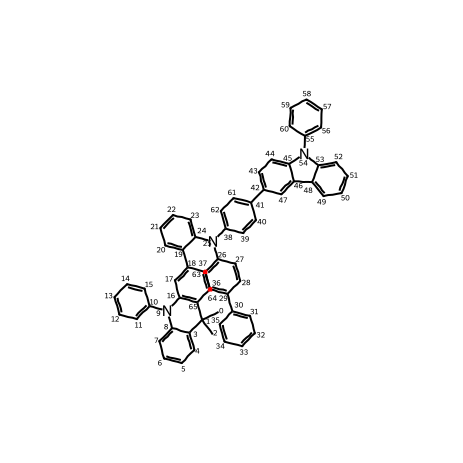 CC1(C)c2ccccc2N(c2ccccc2)c2cc(-c3ccccc3N(c3ccc(-c4ccccc4)cc3)c3ccc(-c4ccc5c(c4)c4ccccc4n5-c4ccccc4)cc3)ccc21